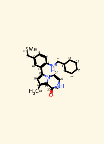 CSCc1ccc(NCC2CCCCC2)c(-c2cc(C)c3c(=O)[nH]ccn23)c1